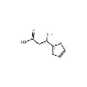 CC(CC(=O)O)c1cccs1